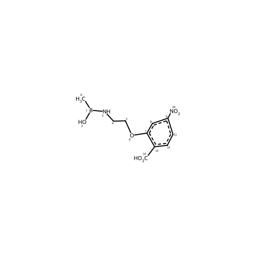 CB(O)NCCOc1cc([N+](=O)[O-])ccc1C(=O)O